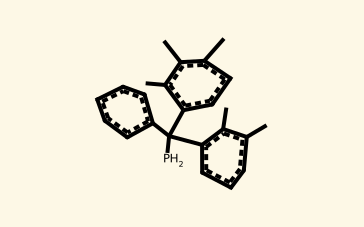 Cc1cccc(C(P)(c2ccccc2)c2ccc(C)c(C)c2C)c1C